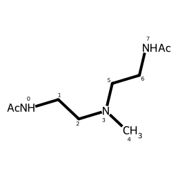 CC(=O)NCCN(C)CCNC(C)=O